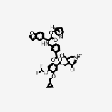 O=C(O[C@@H](Cc1c(Cl)c[n+]([O-])cc1Cl)c1ccc(OC(F)F)c(OCC2CC2)c1)c1cccc(NC(C(=O)O[C@H]2CN3CCC2CC3)c2ccc3occc3c2)c1